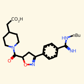 CCCCNC(=N)c1ccc(C2=NOC(C(=O)N3CCC(CC(=O)O)CC3)C2)cc1